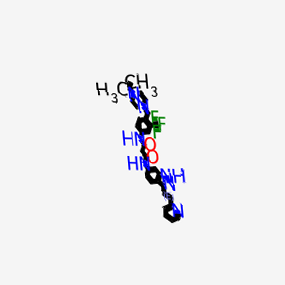 CC(C)N1CCN(Cc2ccc(NC(=O)CC(=O)Nc3ccc4c(/C=C/c5ccccn5)n[nH]c4c3)cc2C(F)(F)F)CC1